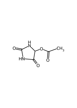 CC(=O)OC1NC(=O)NC1=O